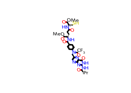 COC(=O)[C@H](CCC(=O)N[C@H](CS)C(=O)OC)NC(=O)c1ccc(N(Cc2cnc3nc(NC(=O)C(C)C)[nH]c(=O)c3n2)C(=O)C(F)(F)F)cc1